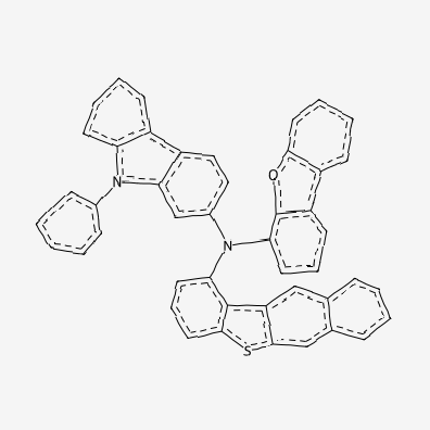 c1ccc(-n2c3ccccc3c3ccc(N(c4cccc5c4oc4ccccc45)c4cccc5sc6cc7ccccc7cc6c45)cc32)cc1